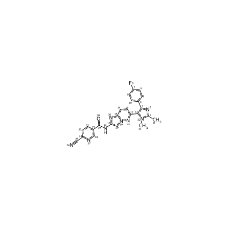 Cc1nc(-c2ccc(F)cc2)c(-c2ccc3nc(NC(=O)c4ccc(C#N)nc4)cn3n2)n1C